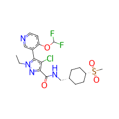 CCn1nc(C(=O)NC[C@H]2CC[C@@H](S(C)(=O)=O)CC2)c(Cl)c1-c1cnccc1OC(F)F